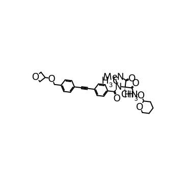 CNC(=O)[C@@](C)(C(=O)NOC1CCCCO1)N(C)C(=O)c1ccc(C#Cc2ccc(COC3COC3)cc2)cc1